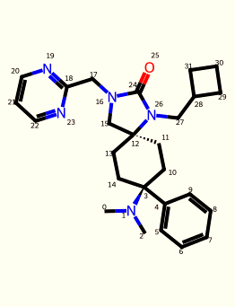 CN(C)[C@]1(c2ccccc2)CC[C@]2(CC1)CN(Cc1ncccn1)C(=O)N2CC1CCC1